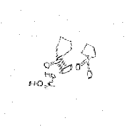 O=C(O)O.O=S1(=O)CCCC1.O=S1(=O)CCCC1